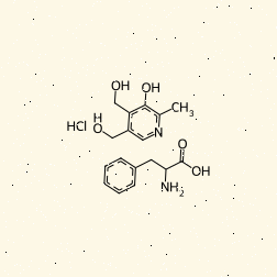 Cc1ncc(CO)c(CO)c1O.Cl.NC(Cc1ccccc1)C(=O)O